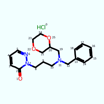 Cl.O=c1cccnn1CCCN(Cc1ccccc1)CC1COCCO1